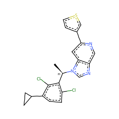 C[C@H](c1c(Cl)ccc(C2CC2)c1Cl)n1cnc2cnc(-c3ccsc3)cc21